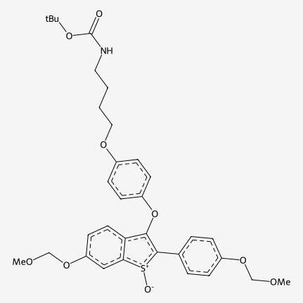 COCOc1ccc(-c2c(Oc3ccc(OCCCCNC(=O)OC(C)(C)C)cc3)c3ccc(OCOC)cc3[s+]2[O-])cc1